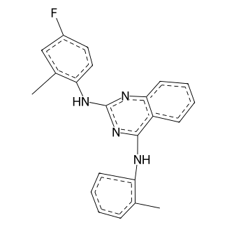 Cc1cc(F)ccc1Nc1nc(Nc2ccccc2C)c2ccccc2n1